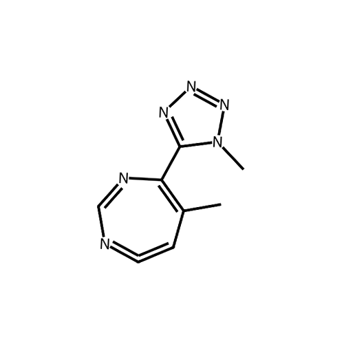 CC1=C(c2nnnn2C)N=CN=C=C1